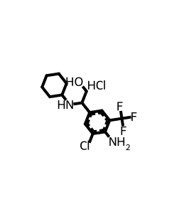 Cl.Nc1c(Cl)cc(C(CO)NC2CCCCC2)cc1C(F)(F)F